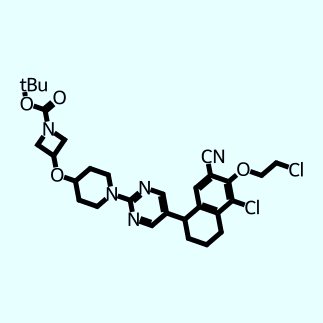 CC(C)(C)OC(=O)N1CC(OC2CCN(c3ncc(C4CCCc5c4cc(C#N)c(OCCCl)c5Cl)cn3)CC2)C1